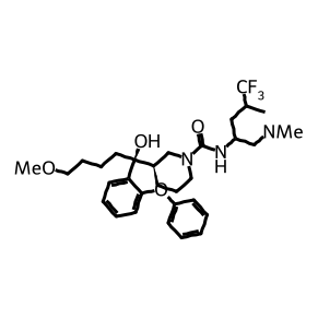 CNCC(CC(C)C(F)(F)F)NC(=O)N1CCC[C@@H]([C@@](O)(CCCCOC)c2ccccc2Oc2ccccc2)C1